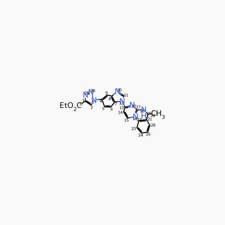 CCOC(=O)c1cn(-c2ccc3c(c2)ncn3-c2ccnc(N[C@@H](C)c3ccccc3)n2)nn1